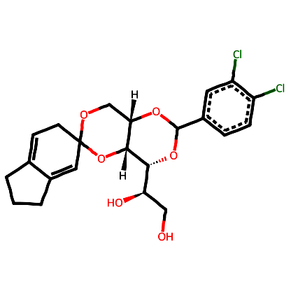 OC[C@@H](O)[C@H]1OC(c2ccc(Cl)c(Cl)c2)O[C@H]2COC3(C=C4CCCC4=CC3)O[C@@H]12